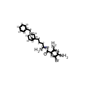 N/C(CCCC1C[N+]2(Cc3ccccc3)CCC1CC2)=N\C(=O)c1nc(Br)c(N)nc1N